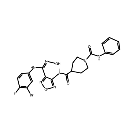 O=C(Nc1nonc1/C(=N\O)Nc1ccc(F)c(Br)c1)C1CCN(C(=O)Nc2ccccc2)CC1